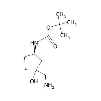 CC(C)(C)OC(=O)N[C@@H]1CCC(O)(CN)C1